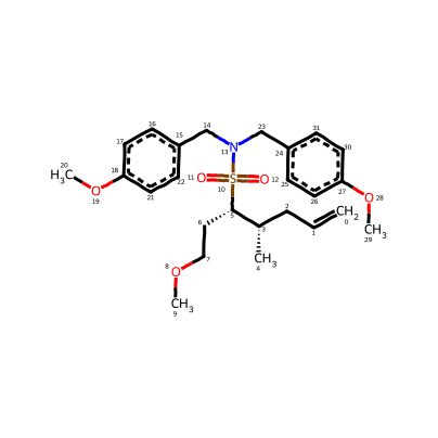 C=CC[C@H](C)[C@H](CCOC)S(=O)(=O)N(Cc1ccc(OC)cc1)Cc1ccc(OC)cc1